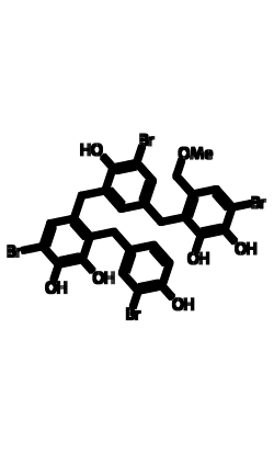 COCc1cc(Br)c(O)c(O)c1Cc1cc(Br)c(O)c(Cc2cc(Br)c(O)c(O)c2Cc2ccc(O)c(Br)c2)c1